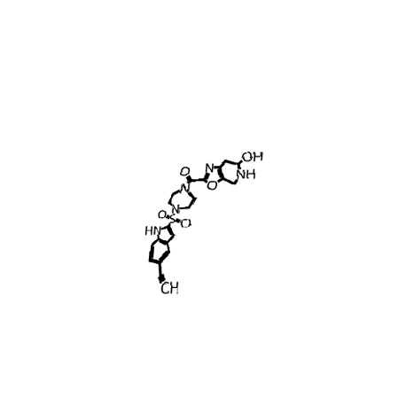 C#Cc1ccc2[nH]c(S(=O)(=O)N3CCN(C(=O)c4nc5c(o4)CNC(O)C5)CC3)cc2c1